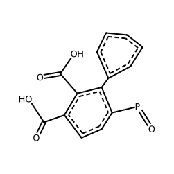 O=Pc1ccc(C(=O)O)c(C(=O)O)c1-c1ccccc1